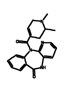 CC1CC(C(=O)N2c3ccccc3C(=O)Nc3cccnc32)=CCN1C